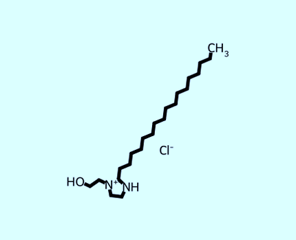 CCCCCCCCCCCCCCCCCC1=[N+](CCO)CCN1.[Cl-]